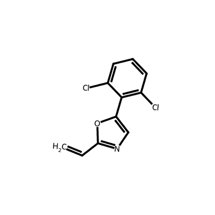 C=Cc1ncc(-c2c(Cl)cccc2Cl)o1